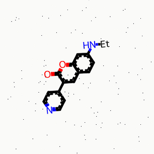 CCNc1ccc2cc(-c3ccncc3)c(=O)oc2c1